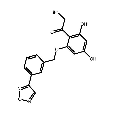 CC(C)CC(=O)c1c(O)cc(O)cc1OCc1cccc(-c2cnon2)c1